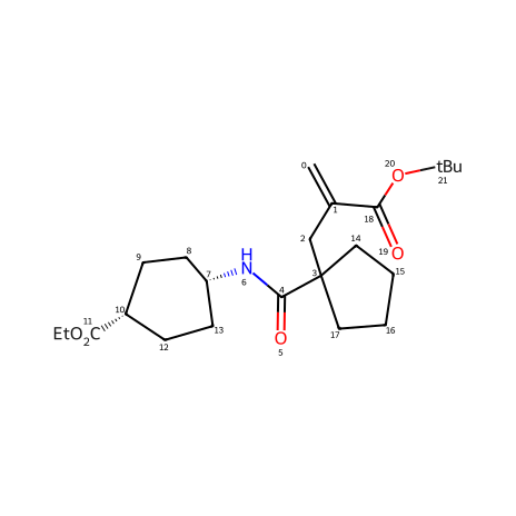 C=C(CC1(C(=O)N[C@H]2CC[C@@H](C(=O)OCC)CC2)CCCC1)C(=O)OC(C)(C)C